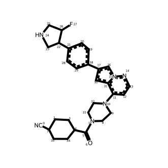 N#CC1CCC(C(=O)N2CCN(c3ccnn4cc(-c5ccc(C6CNCC6F)cc5)cc34)CC2)CC1